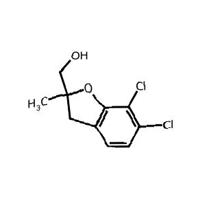 CC1(CO)Cc2ccc(Cl)c(Cl)c2O1